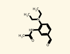 CCN(CC)c1ccc(C=O)cc1NC(C)=O